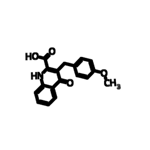 COc1ccc(Cc2c(C(=O)O)[nH]c3ccccc3c2=O)cc1